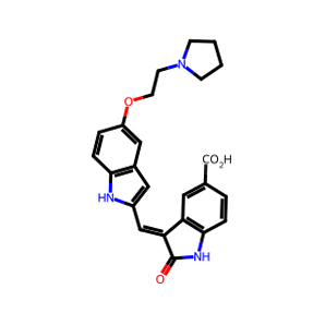 O=C1Nc2ccc(C(=O)O)cc2C1=Cc1cc2cc(OCCN3CCCC3)ccc2[nH]1